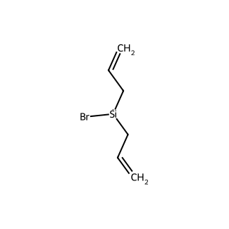 C=CC[Si](Br)CC=C